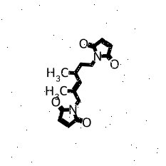 C/C(=C\C(C)CCN1C(=O)C=CC1=O)CN1C(=O)C=CC1=O